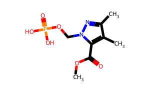 COC(=O)c1c(C)c(C)nn1COP(=O)(O)O